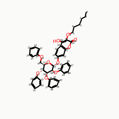 CCCCCCOc1c(O)c2ccc(O[C@H]3O[C@H](COc4ccccc4)[C@@H](Oc4ccccc4)[C@H](Oc4ccccc4)[C@@H]3Oc3ccccc3)cc2oc1=O